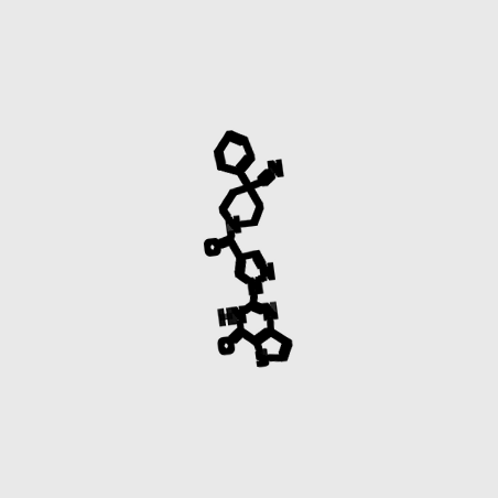 N#CC1(c2ccccc2)CCN(C(=O)c2cnn(-c3nc4ccsc4c(=O)[nH]3)c2)CC1